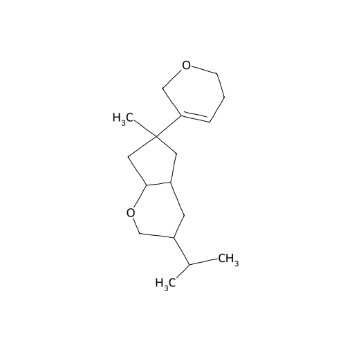 CC(C)C1COC2CC(C)(C3=CCCOC3)CC2C1